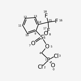 O=P(Cl)(Cl)COS(=O)(=O)c1ccccc1C(F)(F)F